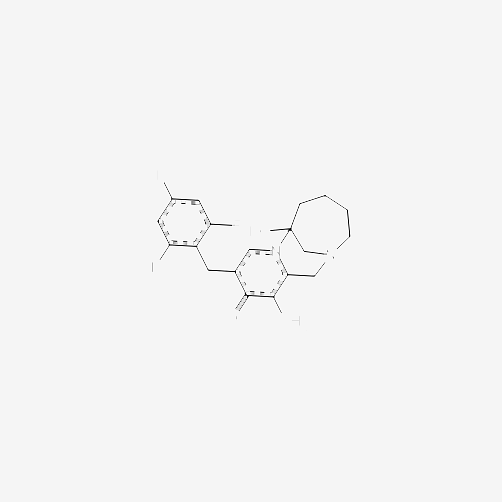 Cc1c2n(cc(Cc3c(F)cc(F)cc3F)c1=O)C1(C)CCCCN(C2)C1